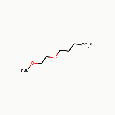 CCCCOCCOCCCC(=O)OCC